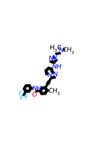 Cc1ccc(C(=O)Nc2cccc(C(F)(F)F)c2)cc1C#Cc1cnc2c(Nc3cnn(CCN(C)C)c3)cccn12